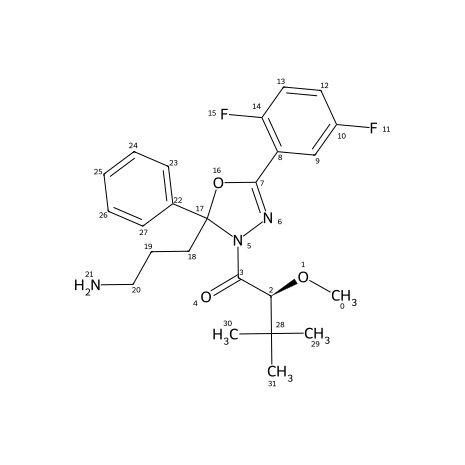 CO[C@H](C(=O)N1N=C(c2cc(F)ccc2F)OC1(CCCN)c1ccccc1)C(C)(C)C